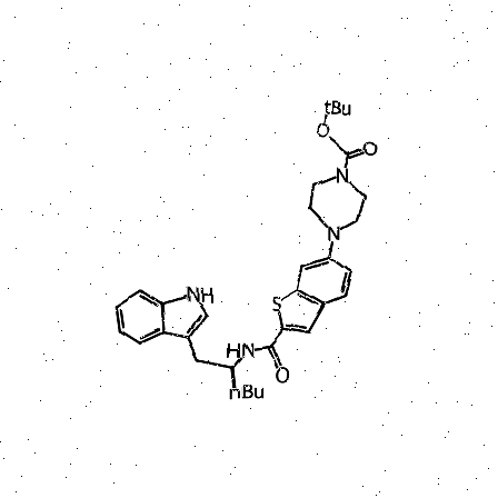 CCCCC(Cc1c[nH]c2ccccc12)NC(=O)c1cc2ccc(N3CCN(C(=O)OC(C)(C)C)CC3)cc2s1